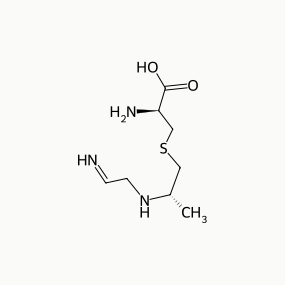 C[C@@H](CSC[C@@H](N)C(=O)O)NCC=N